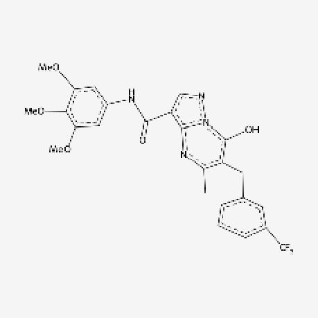 COc1cc(NC(=O)c2cnn3c(O)c(Cc4cccc(C(F)(F)F)c4)c(C)nc23)cc(OC)c1OC